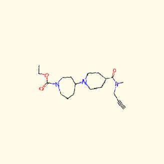 C#CCN(C)C(=O)C1CCN(C2CCCN(C(=O)OCC)CC2)CC1